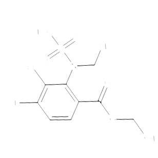 CCOC(=O)c1ccc(F)c(Cl)c1N(CC)S(C)(=O)=O